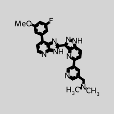 COc1cc(F)cc(-c2ccnc3[nH]c(-c4n[nH]c5ccc(-c6cncc(CN(C)C)c6)nc45)nc23)c1